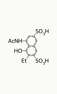 CCc1c(S(=O)(=O)O)cc2cc(S(=O)(=O)O)cc(NC(C)=O)c2c1O